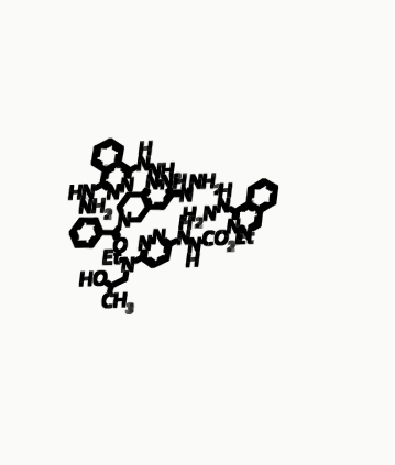 CCOC(=O)NNc1ccc(N(CC)CC(C)O)nn1.N/N=c1/cc2c(n[nH]1)CCN(C(=O)c1ccccc1)C2.NNc1nnc(NN)c2ccccc12.NNc1nncc2ccccc12